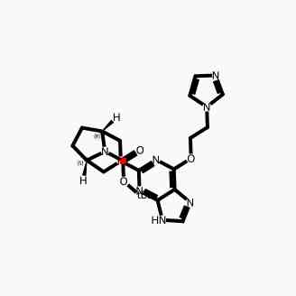 CC(C)(C)OC(=O)N1[C@@H]2CC[C@H]1CN(c1nc(OCCn3ccnc3)c3nc[nH]c3n1)C2